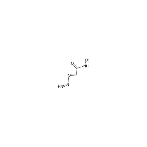 CCNC(=O)C=NN=N